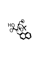 CC(C)(C)ON(C=C=O)[C@H](Cc1ccc2ccccc2c1)C(=O)O